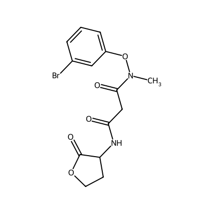 CN(Oc1cccc(Br)c1)C(=O)CC(=O)NC1CCOC1=O